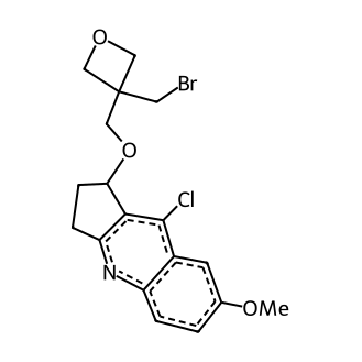 COc1ccc2nc3c(c(Cl)c2c1)C(OCC1(CBr)COC1)CC3